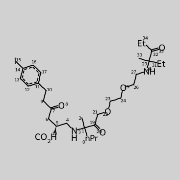 CCCC(C)(NC[C@H](CC(=O)CCc1ccc(I)cc1)C(=O)O)C(=O)COCCOCCNC(C)(CC)C(=O)CC